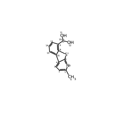 Cc1ccc2c(n1)sc1c(B(O)O)cccc12